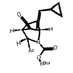 CC(=O)[C@@H]1[C@@H]2CC[C@@H](/C(=C\C3CC3)C2=O)N1C(=O)OC(C)(C)C